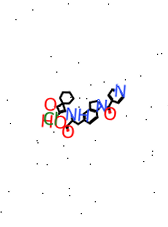 O=C(O)C(Cc1ccc2c(c1)CCN2C(=O)c1ccncc1)NC1=C(Cl)C(=O)C12CCCCC2